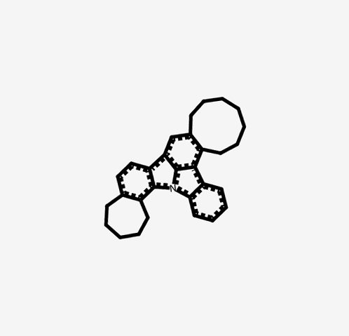 c1ccc2c(c1)c1c3c(cc4c5ccc6c(c5n2c41)CCCCC6)CCCCCCC3